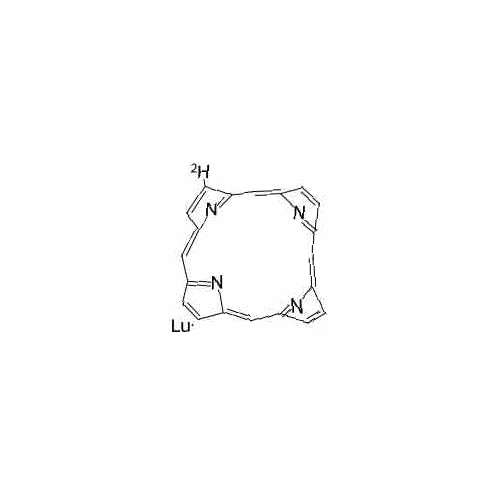 [2H]C1=CC2=CC3=NC(=CC4=NC(=CC5=NC(=CC1=N2)C=C5)C=C4)C=C3.[Lu]